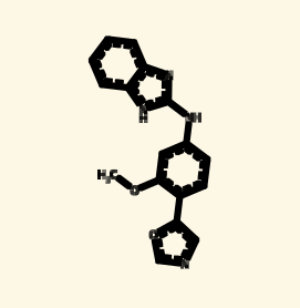 COc1cc(Nc2nc3ccccc3[nH]2)ccc1-c1cnco1